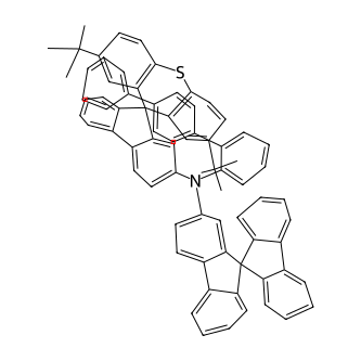 CC(C)(C)c1ccc2c(c1)C1(c3cc(C(C)(C)C)ccc3S2)c2ccccc2-c2ccc(N(c3ccc4c(c3)C3(c5ccccc5-c5ccccc53)c3ccccc3-4)c3ccccc3-c3ccc(-c4ccccc4)cc3)cc21